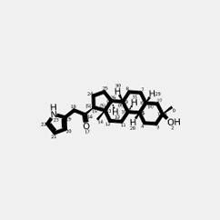 C[C@@]1(O)CC[C@H]2[C@H](CC[C@@H]3[C@@H]2CC[C@]2(C)[C@@H](C(=O)Cc4ccc[nH]4)CC[C@@H]32)C1